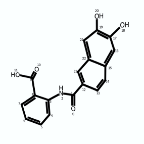 O=C(Nc1ccccc1C(=O)O)c1ccc2cc(O)c(O)cc2c1